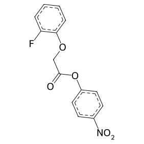 O=C(COc1ccccc1F)Oc1ccc([N+](=O)[O-])cc1